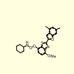 COc1ccc(OONC2CCCCC2)c2sc(-c3cc4c(C)cc(C)cc4o3)nc12